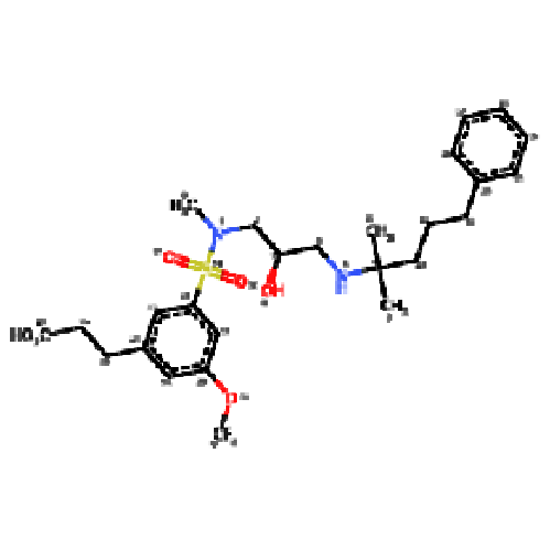 CN(C[C@H](O)CNC(C)(C)CCCc1ccccc1)S(=O)(=O)c1cc(CCC(=O)O)cc(OC(F)(F)F)c1